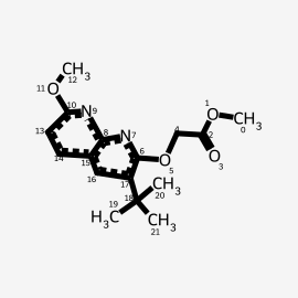 COC(=O)COc1nc2nc(OC)ccc2cc1C(C)(C)C